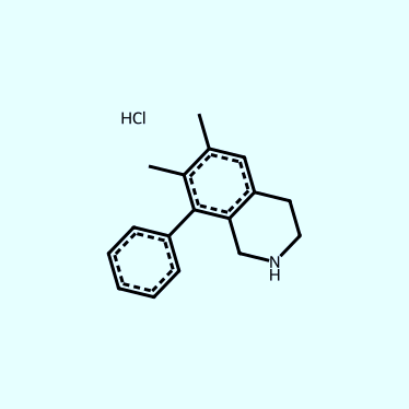 Cc1cc2c(c(-c3ccccc3)c1C)CNCC2.Cl